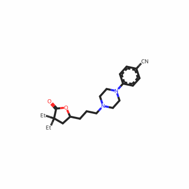 CCC1(CC)CC(CCCN2CCN(c3ccc(C#N)cc3)CC2)OC1=O